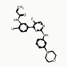 C=CC(=O)Nc1cc(-c2nc(Nc3cccc(N4CCOCC4)c3)ncc2F)ccc1Cl